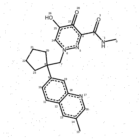 CNC(=O)c1nn(CC2(c3ccc4cc(C)cnc4c3)CCCC2)cc(O)c1=O